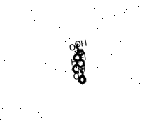 C[C@]12CCC(=O)N(Cc3ccccc3)[C@@H]1CC[C@@H]1[C@@H]2CC[C@]2(C)C(C(=O)O)=CC[C@@H]12